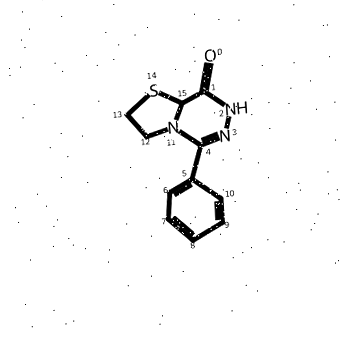 O=C1NN=C(c2ccccc2)N2CCSC12